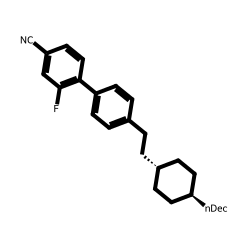 CCCCCCCCCC[C@H]1CC[C@H](CCc2ccc(-c3ccc(C#N)cc3F)cc2)CC1